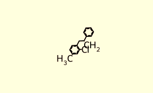 [CH2]C(Cc1ccc(C)cc1Cl)c1ccccc1